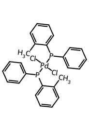 Cc1ccccc1[P](c1ccccc1)[Pd]([Cl])([Cl])[P](c1ccccc1)c1ccccc1C